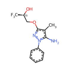 Cc1c(OC[C@H](O)C(F)(F)F)nn(-c2ccccc2)c1N